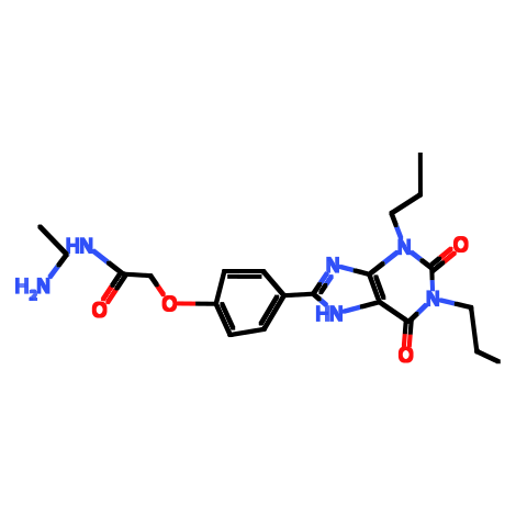 CCCn1c(=O)c2[nH]c(-c3ccc(OCC(=O)NC(C)N)cc3)nc2n(CCC)c1=O